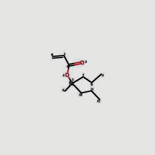 C=CC(=O)O[Si](C)(CCC)CCC